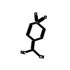 N#CC(C#N)=C1C=CS(=O)(=O)C=C1